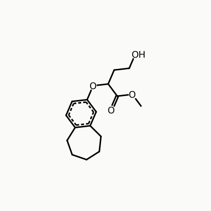 COC(=O)C(CCO)Oc1ccc2c(c1)CCCCC2